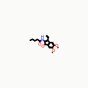 C=CC1=C(NC(=O)CCCC)C(=O)c2cc(OC)c(OC)cc21